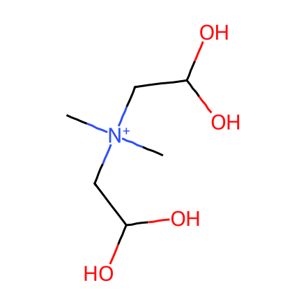 C[N+](C)(CC(O)O)CC(O)O